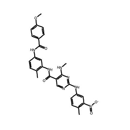 CNc1nc(Nc2ccc(C)c([N+](=O)[O-])c2)ncc1C(=O)Nc1cc(NC(=O)c2ccc(OC)cc2)ccc1C